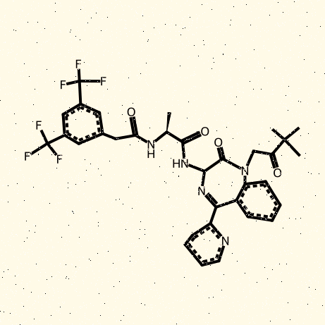 C[C@H](NC(=O)Cc1cc(C(F)(F)F)cc(C(F)(F)F)c1)C(=O)NC1N=C(c2ccccn2)c2ccccc2N(CC(=O)C(C)(C)C)C1=O